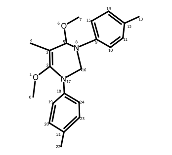 COC1=C(C)C(OC)N(c2ccc(C)cc2)[CH]N1c1ccc(C)cc1